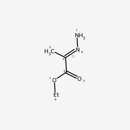 CCOC(=O)/C(C)=N/N